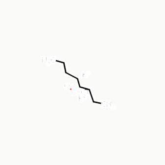 CCCCCCCC.O=C([O-])[O-].[K+].[K+]